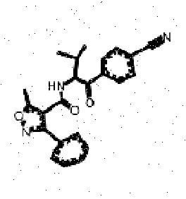 Cc1onc(-c2ccccc2)c1C(=O)NC(C(=O)c1ccc(C#N)cc1)C(C)C